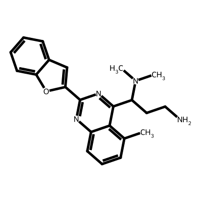 Cc1cccc2nc(-c3cc4ccccc4o3)nc(C(CCN)N(C)C)c12